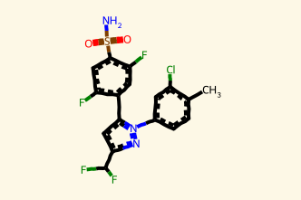 Cc1ccc(-n2nc(C(F)F)cc2-c2cc(F)c(S(N)(=O)=O)cc2F)cc1Cl